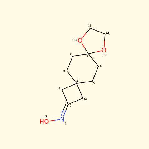 ON=C1CC2(CCC3(CC2)OCCO3)C1